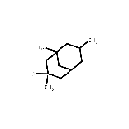 CC1CC2CC(C)(C1)C[C@@](C)(Cl)C2